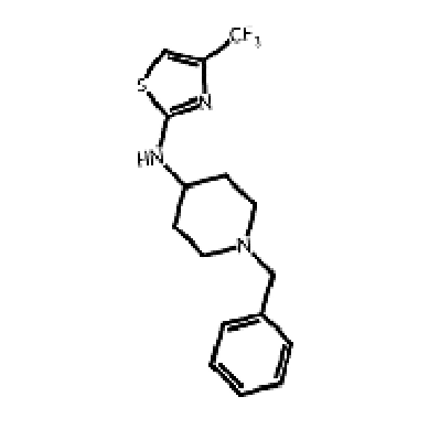 FC(F)(F)c1csc(NC2CCN(Cc3ccccc3)CC2)n1